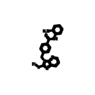 CCSc1nc2cccnc2n1Cc1ccc(C(=O)Nc2ccccc2N)cc1